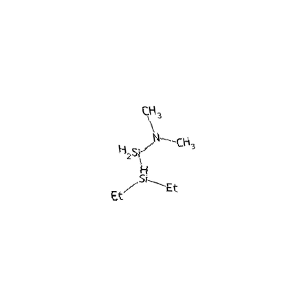 CC[SiH](CC)[SiH2]N(C)C